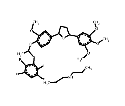 CCCNCCC.COc1cc(C2CCC(c3cc(OC)c(OC)c(OC)c3)O2)ccc1OC(C)Sc1c(F)c(F)cc(F)c1F